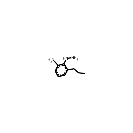 CCCc1cccc(N)c1NN